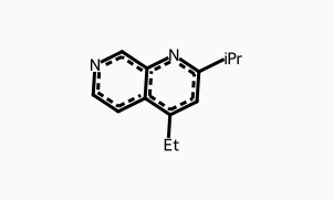 CCc1cc(C(C)C)nc2cnccc12